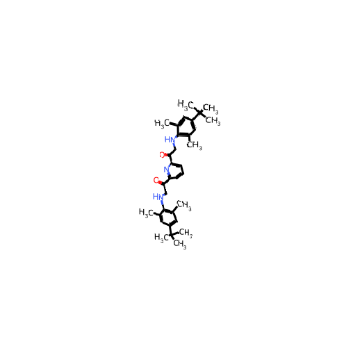 Cc1cc(C(C)(C)C)cc(C)c1NCC(=O)c1cccc(C(=O)CNc2c(C)cc(C(C)(C)C)cc2C)n1